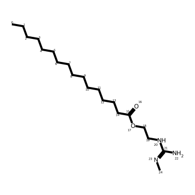 CCCCCCCCCCCCCCCC(=O)OCCNC(N)=NC